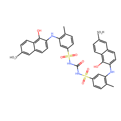 Cc1ccc(S(=O)(=O)NC(=O)NS(=O)(=O)c2ccc(C)c(Nc3ccc4cc(S(=O)(=O)O)ccc4c3O)c2)cc1Nc1ccc2cc(S(=O)(=O)O)ccc2c1O